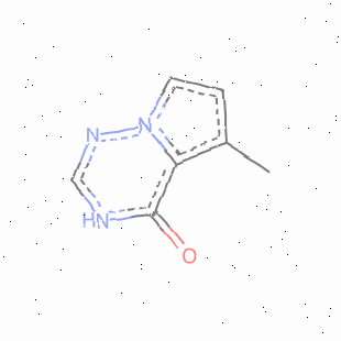 Cc1ccn2nc[nH]c(=O)c12